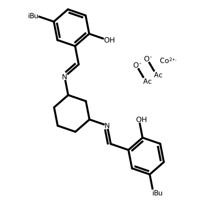 CC(=O)[O-].CC(=O)[O-].CCC(C)c1ccc(O)c(C=NC2CCCC(N=Cc3cc(C(C)CC)ccc3O)C2)c1.[Co+2]